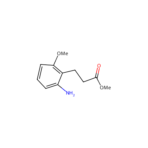 COC(=O)CCc1c(N)cccc1OC